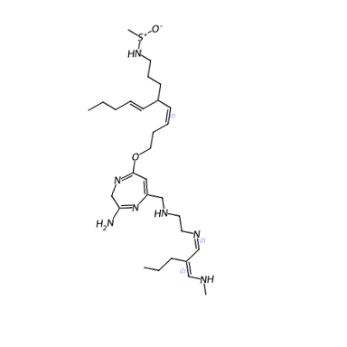 CCCC=CC(/C=C\CCOC1=NCC(N)=NC(CNCC/N=C\C(=C/NC)CCC)=C1)CCCN[S+](C)[O-]